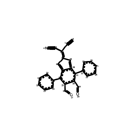 C#CC(C#N)=C1C=c2c(-c3ccccc3)c(C=O)c(C=O)c(-c3ccccc3)c2=C1